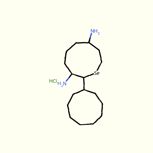 Cl.NC1CCCC(N)C(C2CCCCCCCC2)[Se]CC1